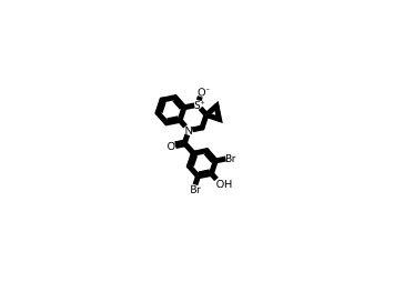 O=C(c1cc(Br)c(O)c(Br)c1)N1CC2(CC2)[S+]([O-])c2ccccc21